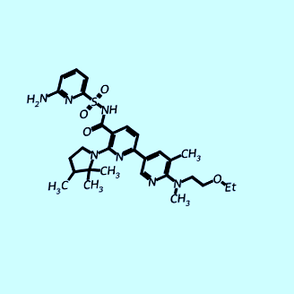 CCOCCN(C)c1ncc(-c2ccc(C(=O)NS(=O)(=O)c3cccc(N)n3)c(N3CCC(C)C3(C)C)n2)cc1C